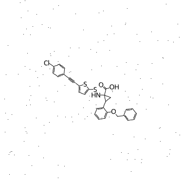 O=C(O)C1(NSc2ccc(C#Cc3ccc(Cl)cc3)s2)CC1c1ccccc1OCc1ccccc1